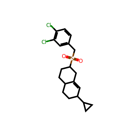 O=S(=O)(Cc1ccc(Cl)c(Cl)c1)C1CCC2CCC(C3CC3)C=C2C1